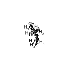 C=C1NC(C2=CCC(C(C)(C)C=CC)S2)C2C(=C)NC(c3ccc(C4=CCC(C(C)(C)C=CC)S4)s3)=C12